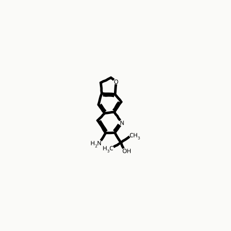 CC(C)(O)c1nc2cc3c(cc2cc1N)CCO3